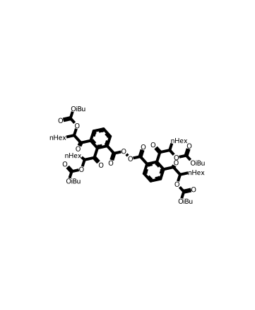 CCCCCCC(OC(=O)OCC(C)C)C(=O)c1cccc(C(=O)OOC(=O)c2cccc(C(=O)C(CCCCCC)OC(=O)OCC(C)C)c2C(=O)C(CCCCCC)OC(=O)OCC(C)C)c1C(=O)C(CCCCCC)OC(=O)OCC(C)C